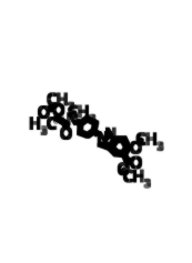 COC(=O)c1cc2cn(C3CCC(N(C)C(=O)[C@@H](C)OC(C)=O)CC3)nc2cc1OC